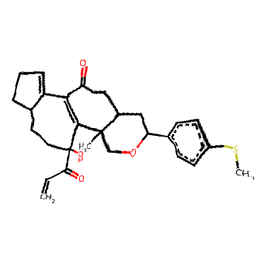 C=CC(=O)C1(O)CCC2CCC=C2C2=C1C1(C)COC(c3ccc(SC)cc3)CC1CC2=O